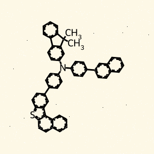 CC1(C)c2ccccc2-c2ccc(N(c3ccc(-c4ccc5ccccc5c4)cc3)c3ccc(-c4ccc5sc6ccc7ccccc7c6c5c4)cc3)cc21